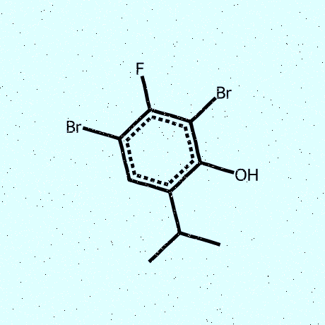 CC(C)c1cc(Br)c(F)c(Br)c1O